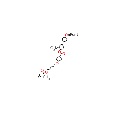 C=C(C)C(=O)OCCCCCOc1ccc(C(=O)Oc2ccc(-c3ccc(OCCCCC)cc3)cc2[N+](=O)[O-])cc1